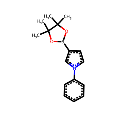 CC1(C)OB(c2ccn(-c3ccccc3)c2)OC1(C)C